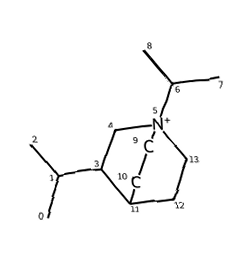 CC(C)C1C[N+]2(C(C)C)CCC1CC2